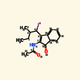 CCC(C)C(I)C1=C(NC(C)=O)C(=O)c2ccccc21